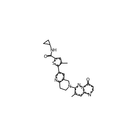 Cc1cc2nccc(=O)n2nc1N1CCc2ncc(-c3sc(C(=O)NC4CC4)cc3C)cc2C1